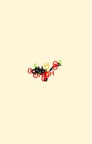 C[C@@H]1C[C@H]2[C@@H]3C[C@H](F)C4=CC(=O)C=C(O)[C@]4(C)[C@@]3(F)CC[C@]2(C)[C@]1(OC(=O)c1ccco1)C(O)=[SH]CC#CCOC(=O)CC(C)(C)F